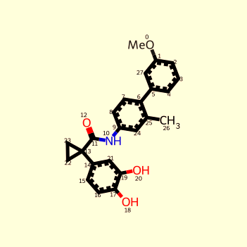 COc1cccc(-c2ccc(NC(=O)C3(c4ccc(O)c(O)c4)CC3)cc2C)c1